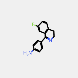 Nc1ccc(C2=NCCc3ccc(F)cc32)cc1